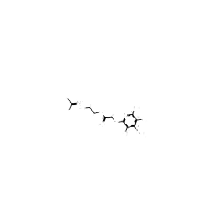 CC(C)=NOCCOC(=O)COc1nc(F)c(Cl)c(N)c1Cl